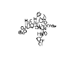 COC(=O)c1nc(C(=O)NCc2cccc(Cl)c2F)ccc1-c1cc2c(cc1C(=O)Nc1c(C)cc(CNC(=O)OC(C)(C)C)cc1C)-c1sccc1CCO2